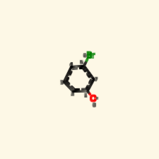 [O]c1cccc(Br)c1